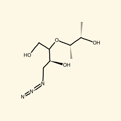 C[C@H](O)[C@H](C)OC(CO)[C@@H](O)CN=[N+]=[N-]